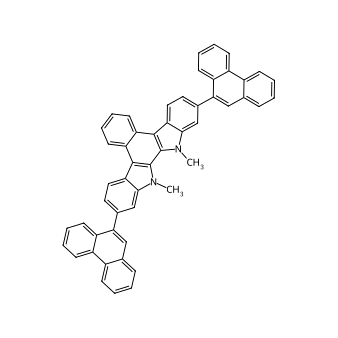 Cn1c2cc(-c3cc4ccccc4c4ccccc34)ccc2c2c3ccccc3c3c4ccc(-c5cc6ccccc6c6ccccc56)cc4n(C)c3c21